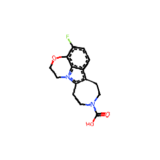 O=C(O)N1CCc2c(n3c4c(c(F)ccc24)OCC3)CC1